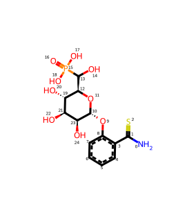 NC(=S)c1ccccc1O[C@H]1O[C@H](C(O)P(=O)(O)O)[C@@H](O)[C@H](O)[C@@H]1O